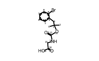 CC(C)(Cc1ccccc1Br)OC(=O)NCC(=O)O